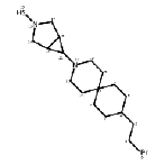 CC(C)CCC1CCC2(CC1)CCN(C1C3CN(S)CC31)CC2